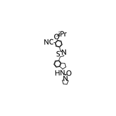 CC(C)Oc1ccc(C2=NCC(c3cccc4c3CC[C@@H]4NC(=O)N3CCCC3)S2)cc1C#N